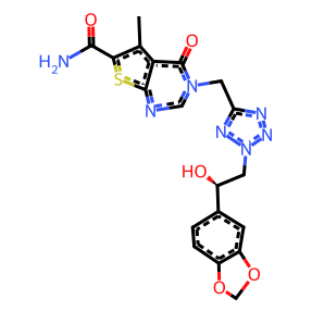 Cc1c(C(N)=O)sc2ncn(Cc3nnn(C[C@H](O)c4ccc5c(c4)OCO5)n3)c(=O)c12